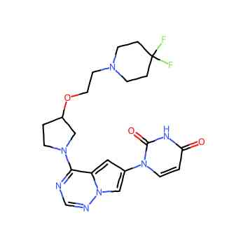 O=c1ccn(-c2cc3c(N4CCC(OCCN5CCC(F)(F)CC5)C4)ncnn3c2)c(=O)[nH]1